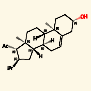 CC(=O)[C@H]1[C@H](C(C)C)C[C@H]2[C@@H]3CC=C4C[C@@H](O)CC[C@]4(C)[C@H]3CC[C@@]21C